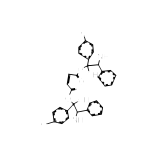 CC(OC(=O)/C=C\C(=O)OC(C)(c1ccc(Cl)cc1)C(N)c1ccccc1)(c1ccc(Cl)cc1)C(N)c1ccccc1